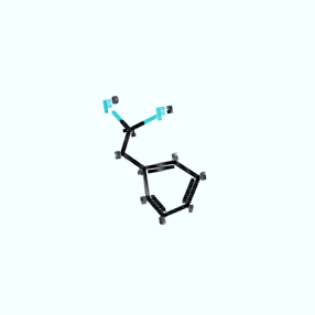 F[C](F)Cc1ccccc1